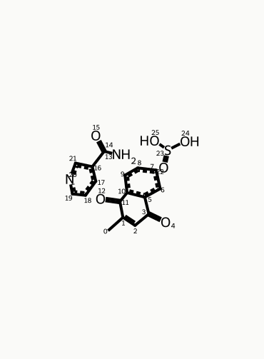 CC1=CC(=O)c2ccccc2C1=O.NC(=O)c1cccnc1.O=S(O)O